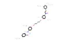 COc1ccc2c(c1)C(=O)NC(c1ccc(OCCCCCCOc3c(OC)cc(-c4cc(-c5cc(OC)c(OC)c(OC)c5)on4)cc3OC)c(OC)c1)N2